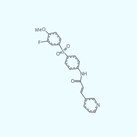 COc1ccc(S(=O)(=O)c2ccc(NC(=O)C=Cc3cccnc3)cc2)cc1F